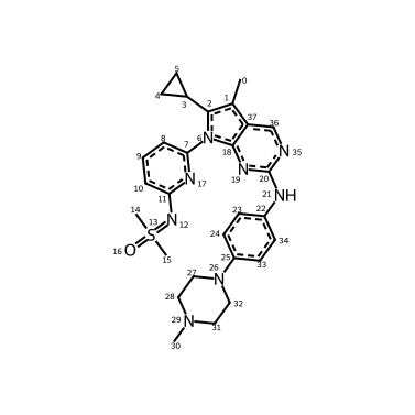 Cc1c(C2CC2)n(-c2cccc(N=S(C)(C)=O)n2)c2nc(Nc3ccc(N4CCN(C)CC4)cc3)ncc12